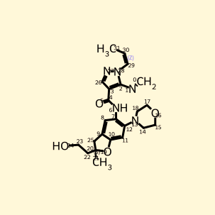 C=Nc1c(C(=O)Nc2cc3c(cc2N2CCOCC2)O[C@](C)(CCO)C3)cnn1/C=C\C